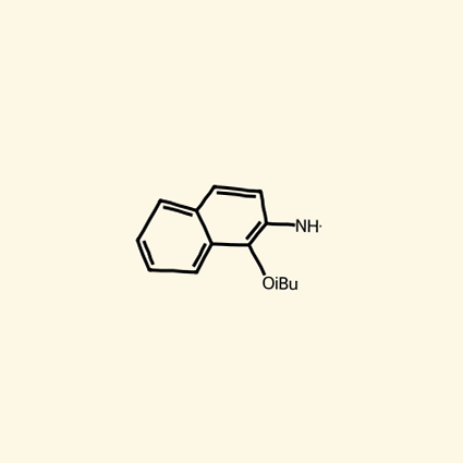 CC(C)COc1c([NH])ccc2ccccc12